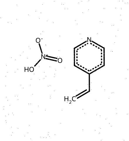 C=Cc1ccncc1.O=[N+]([O-])O